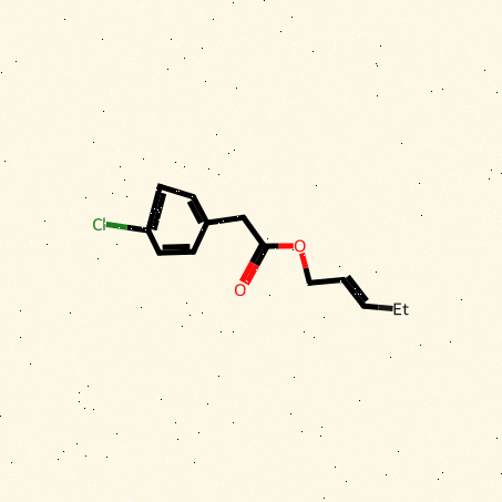 CC/C=C/COC(=O)Cc1ccc(Cl)cc1